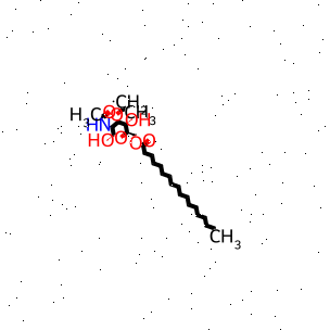 [CH2]C(C)O[C@H]1[C@H](O)[C@@H](COC(=O)CCCCCCCCCCCCCCCCC)O[C@H](O)[C@@H]1NC(C)=O